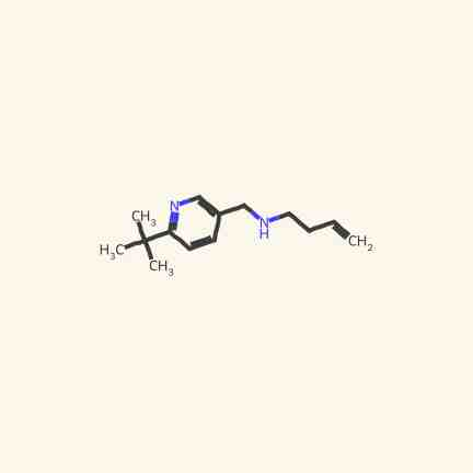 C=CCCNCc1ccc(C(C)(C)C)nc1